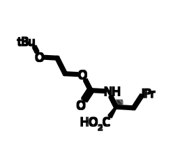 CC(C)C[C@H](NC(=O)OCCOC(C)(C)C)C(=O)O